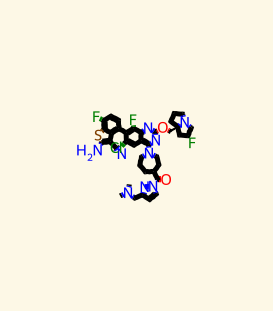 CN(C)Cc1ccn(C(=O)C2CCCN(c3nc(OC[C@@]45CCCN4C[C@H](F)C5)nc4c(F)c(-c5ccc(F)c6sc(N)c(C#N)c56)c(Cl)cc34)CC2)n1